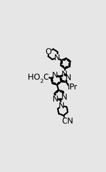 CC(C)c1nn(-c2cccc(N3CCOCC3)c2)c2nc(C(=O)O)cc(-c3cnc(N4CCC(C#N)CC4)nc3)c12